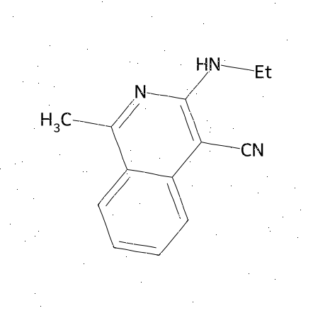 CCNc1nc(C)c2ccccc2c1C#N